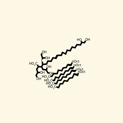 CCCCCCCCC=CCCCCCCCC(=O)O.CCCCCCCCC=CCCCCCCCC(=O)O.CCCCCCCCC=CCCCCCCCC(=O)O.CCCCCCCCC=CCCCCCCCC(=O)O.O=C(O)C(CC(O)CO)C(CC(O)CO)C(CCCCC=CCCCCCCCCCC(O)CO)CC(O)CO